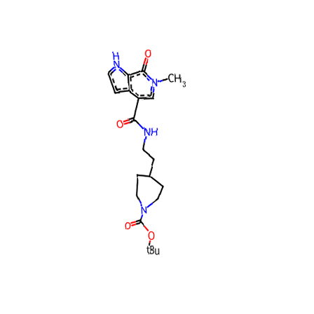 Cn1cc(C(=O)NCCC2CCN(C(=O)OC(C)(C)C)CC2)c2cc[nH]c2c1=O